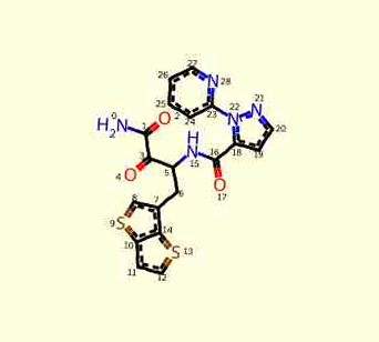 NC(=O)C(=O)C(Cc1csc2ccsc12)NC(=O)c1ccnn1-c1ccccn1